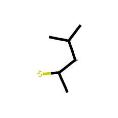 CC(C)[CH]C(C)[S]